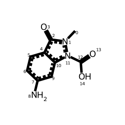 Cn1c(=O)c2ccc(N)cc2n1C(=O)O